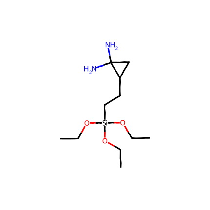 CCO[Si](CCC1CC1(N)N)(OCC)OCC